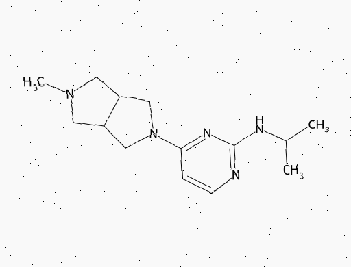 CC(C)Nc1nccc(N2CC3CN(C)CC3C2)n1